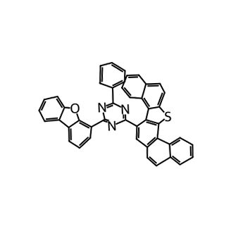 c1ccc(-c2nc(-c3cccc4c3oc3ccccc34)nc(-c3cc4ccc5ccccc5c4c4sc5ccc6ccccc6c5c34)n2)cc1